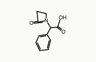 O=C(O)C(c1ccccc1)N1CCC1=O